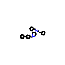 c1ccc(CCN(Cc2ccccc2)C2CCN(Cc3ccc(-c4ccccc4)cc3)CC2)cc1